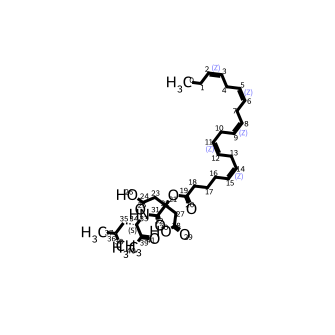 CC/C=C\C/C=C\C/C=C\C/C=C\C/C=C\CCCC(=O)OC(CC(=O)O)(CC(=O)O)C(=O)N[C@@H](CC(C)C)C(C)=O